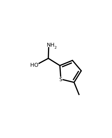 Cc1ccc(C(N)O)s1